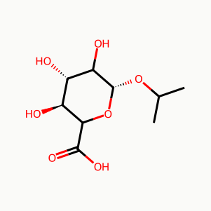 CC(C)O[C@@H]1OC(C(=O)O)[C@@H](O)[C@H](O)C1O